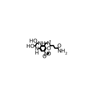 CN(Cc1cc([N+](=O)[O-])cc2c1NC(O)C(O)N2)C(=O)CCC(N)=O